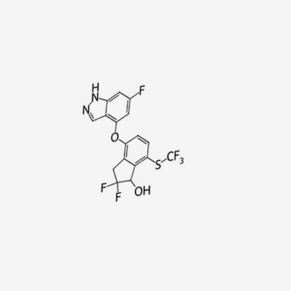 OC1c2c(SC(F)(F)F)ccc(Oc3cc(F)cc4[nH]ncc34)c2CC1(F)F